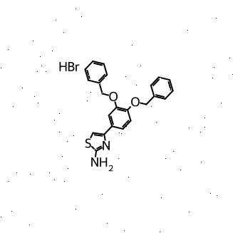 Br.Nc1nc(-c2ccc(OCc3ccccc3)c(OCc3ccccc3)c2)cs1